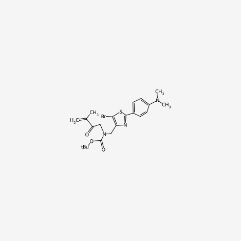 C=C(C)C(=O)CN(Cc1nc(-c2ccc(N(C)C)cc2)sc1Br)C(=O)OC(C)(C)C